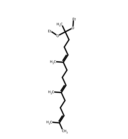 CCOC(C)(CC/C=C(\C)CC/C=C(\C)CCC=C(C)C)OCC